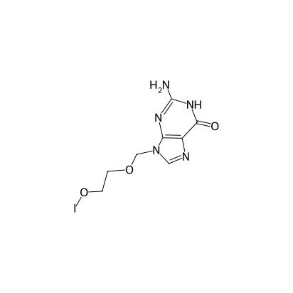 Nc1nc2c(ncn2COCCOI)c(=O)[nH]1